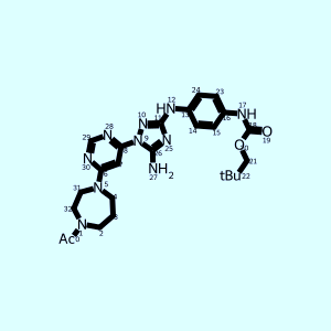 CC(=O)N1CCCN(c2cc(-n3nc(Nc4ccc(NC(=O)OCC(C)(C)C)cc4)nc3N)ncn2)CC1